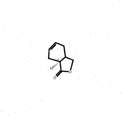 O=C1OCC2CC=CC[C@H]12